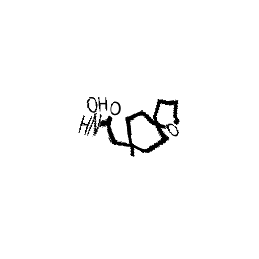 CC1(CC(=O)NO)CCC2(CCCO2)CC1